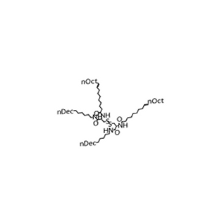 CCCCCCCC/C=C/CCCCCCCC(=O)NC(CSSCC(NC(=O)CCCCCCC/C=C/CCCCCCCC)C(=O)NCCCCCCCCCCCCCCCC)C(=O)NCCCCCCCCCCCCCCC